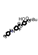 CCCCOC(=O)c1ccc(OC(=O)c2ccc(/N=N/c3ccc(N(C)C)cc3)cc2F)cc1O